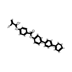 C=C(F)C(=O)Oc1ccc(C(=O)Oc2ccc(-c3ccc(C4=CC=CCC4)cc3)cc2)cc1